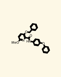 COc1ccc(OCc2ccccc2)c(C(=O)Nc2ccc(Oc3ccccc3)cc2)n1